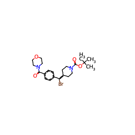 CC(C)(C)OC(=O)N1CCC(=C(Br)c2ccc(C(=O)N3CCOCC3)cc2)CC1